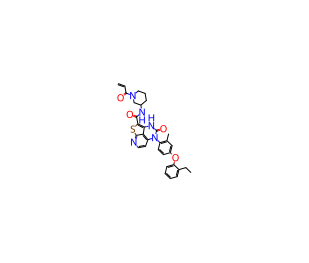 C=CC(=O)N1CCCC(NC(=O)c2sc3nccc4c3c2NC(=O)N4c2ccc(Oc3ccccc3CC)cc2C)C1